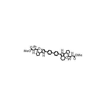 COC(=O)N[C@H](C(=O)N1CCCC1c1ncc(-c2ccc(-c3ccc(-c4[nH]c(C5CCCN5C(=O)[C@@H](NC(=O)OC)C(C)C)c5c4CCCC5)cc3)cc2)[nH]1)C(C)C